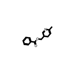 CC1=CCC(COC(=O)c2ccccc2)C=N1